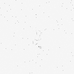 CC(C)(C)Cc1cccc(Oc2cccc3c2CNC3)c1